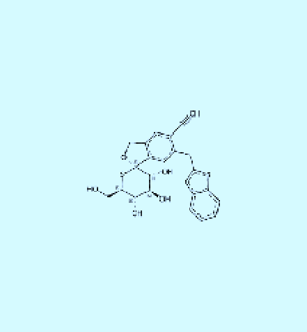 C#Cc1cc2c(cc1Cc1cc3ccccc3s1)[C@]1(OC2)S[C@H](CO)[C@@H](O)[C@H](O)[C@H]1O